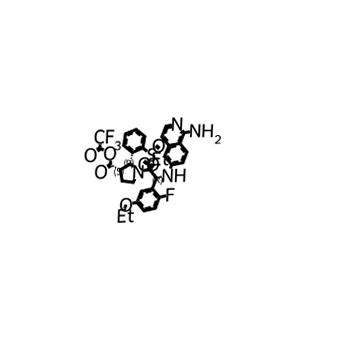 CCOc1ccc(F)c([C@@H](Nc2ccc3c(N)nccc3c2)C(=O)N2CC[C@H](C(=O)OC(=O)C(F)(F)F)[C@@H]2c2ccccc2S(=O)(=O)CC)c1